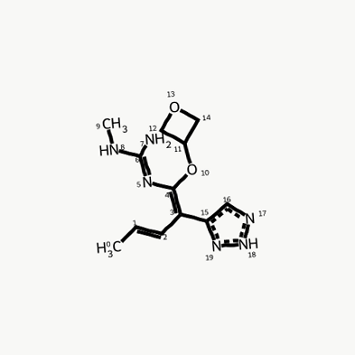 C/C=C/C(=C(\N=C(/N)NC)OC1COC1)c1cn[nH]n1